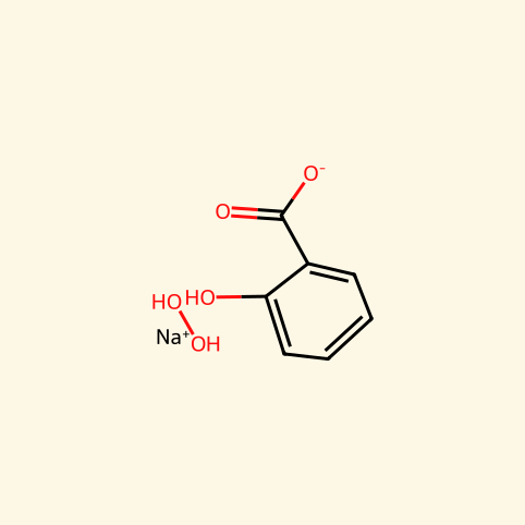 O=C([O-])c1ccccc1O.OO.[Na+]